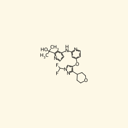 CC(C)(O)c1cc(Nc2cc(Oc3cn(C(F)F)nc3C3CCOCC3)ccn2)ccn1